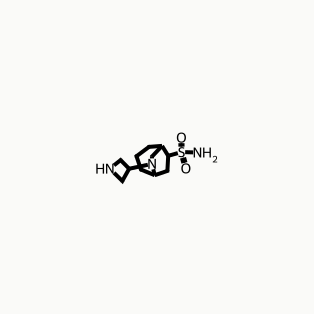 NS(=O)(=O)C1CC2CCCC1CN2C1CNC1